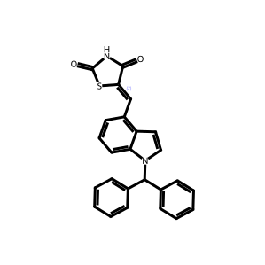 O=C1NC(=O)/C(=C/c2cccc3c2ccn3C(c2ccccc2)c2ccccc2)S1